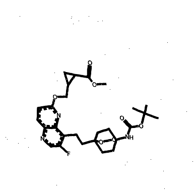 COC(=O)C1CC1COc1ccc2ncc(F)c(CCC34CCC(NC(=O)OC(C)(C)C)(CC3)CO4)c2n1